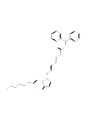 CCCCCCC=C[C@H]1C(=O)C=C[C@@H]1CC=CCCCC(=O)OC(c1ccccc1)c1ccccc1